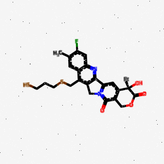 CC[C@@]1(O)C(=O)OCc2c1cc1n(c2=O)Cc2c-1nc1cc(F)c(C)cc1c2CSCCCS